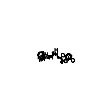 [2H]C1(C(=C)NCCC(=C)NCCC(=C)ON2C(=O)CCC2=O)CCCN1C(C)C